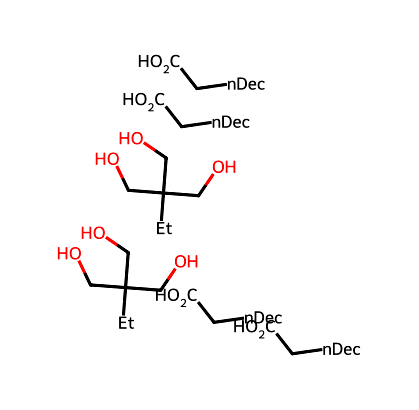 CCC(CO)(CO)CO.CCC(CO)(CO)CO.CCCCCCCCCCCC(=O)O.CCCCCCCCCCCC(=O)O.CCCCCCCCCCCC(=O)O.CCCCCCCCCCCC(=O)O